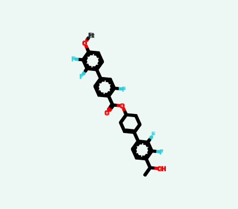 CCOc1ccc(-c2ccc(C(=O)OC3CC=C(c4ccc(C(C)O)c(F)c4F)CC3)c(F)c2)c(F)c1F